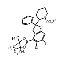 CC1(C)OB(c2c(Cl)c(F)cc3c2CC(c2ccccc2)(C2CCCCN2C(=O)O)O3)OC1(C)C